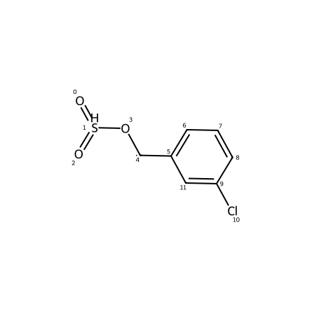 O=[SH](=O)O[CH]c1cccc(Cl)c1